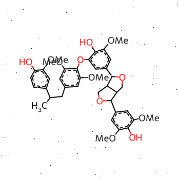 COc1cc(C(C)Cc2cc(OC)c(Oc3cc(C4OCC5C(c6cc(OC)c(O)c(OC)c6)OCC45)cc(OC)c3O)c(OC)c2)ccc1O